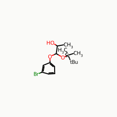 CC(O)C(Oc1cccc(Br)c1)O[Si](C)(C)C(C)(C)C